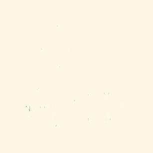 O=S(=O)([O-])c1ccc2c(c1)-c1cc(-c3ccccc3)ccc1S2(=O)=O.[Na+]